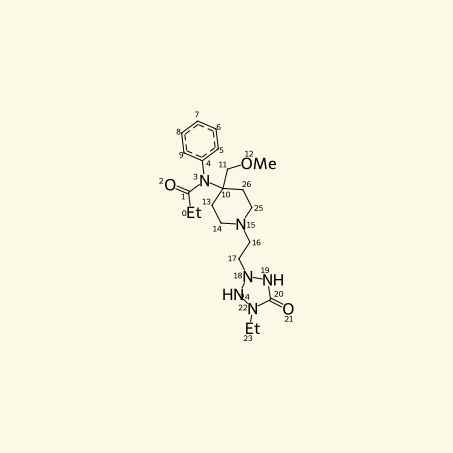 CCC(=O)N(c1ccccc1)C1(COC)CCN(CCN2NC(=O)N(CC)N2)CC1